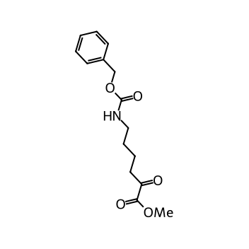 COC(=O)C(=O)CCCCNC(=O)OCc1ccccc1